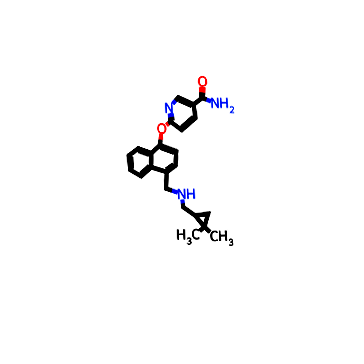 CC1(C)CC1CNCc1ccc(Oc2ccc(C(N)=O)cn2)c2ccccc12